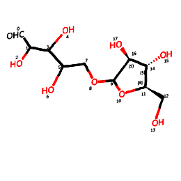 O=CC(O)C(O)C(O)COC1O[C@H](CO)[C@@H](O)[C@@H]1O